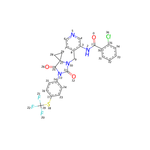 O=C(Nc1cnccc1CN1C(=O)N(c2ccc(SC(F)(F)F)cc2)C(=O)C12CC2)c1ccccc1Cl